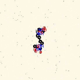 COC[C@H]1C[C@@H](c2nc3ccc4cc(-c5ccc6c(ccc7nc([C@@H]8[C@@H]9CC[C@@H](C9)N8C(=O)[C@@H](NC(=O)OC)C(C)C)[nH]c76)c5)ccc4c3[nH]2)N(C(=O)[C@H](NC(=O)OC)c2ccccc2)C1